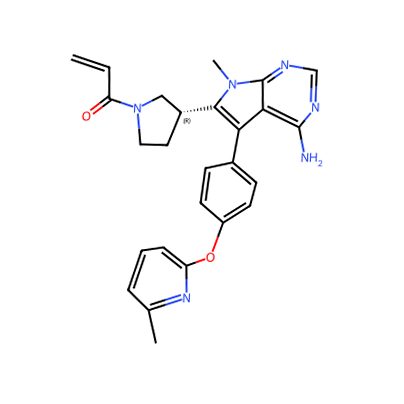 C=CC(=O)N1CC[C@@H](c2c(-c3ccc(Oc4cccc(C)n4)cc3)c3c(N)ncnc3n2C)C1